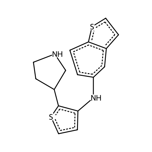 c1cc(Nc2ccc3sccc3c2)c(C2CCNC2)s1